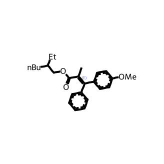 CCCCC(CC)COC(=O)/C(C)=C(\c1ccccc1)c1ccc(OC)cc1